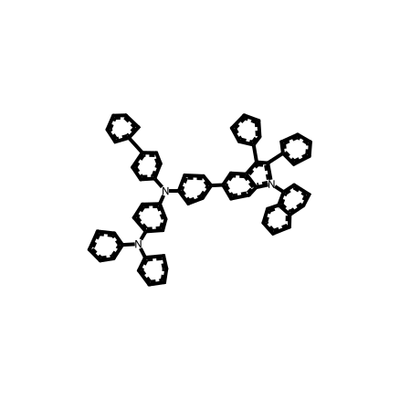 c1ccc(-c2ccc(N(c3ccc(-c4ccc5c(c4)c(-c4ccccc4)c(-c4ccccc4)n5-c4cccc5ccccc45)cc3)c3ccc(N(c4ccccc4)c4ccccc4)cc3)cc2)cc1